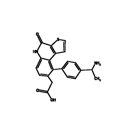 CC(N)c1ccc(-c2c(CC(=O)O)ccc3[nH]c(=O)c4sccc4c23)cc1